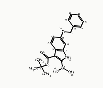 CC(C)(C)OC(=O)c1c(B(O)O)[nH]c2cc(OCc3ccccc3)ccc12